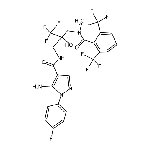 CN(CC(O)(CNC(=O)c1cnn(-c2ccc(F)cc2)c1N)C(F)(F)F)C(=O)c1c(C(F)(F)F)cccc1C(F)(F)F